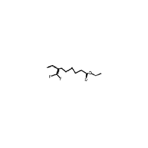 CCOC(=O)CCCCCC(CC)=C(F)F